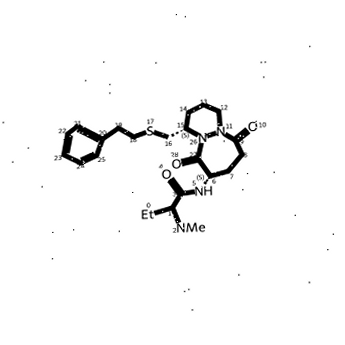 CCC(NC)C(=O)N[C@H]1CCC(=O)N2CCC[C@@H](CSCCc3ccccc3)N2C1=O